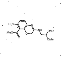 COC(=O)c1c(N)ccc2c1OCC(NCC(OC)OC)=N2